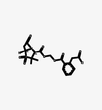 CC1(C)[C@H](C(=O)OCOC(=O)c2ccccc2CC(=O)Cl)N2C(=O)C[C@H]2S1(=O)=O